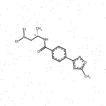 CCN(CC)C[C@H](C)NC(=O)c1ccc(-c2noc(C)n2)cc1